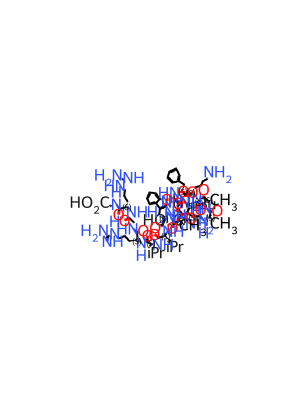 CC[C@H](C)[C@H](NC(=O)[C@H](Cc1ccccc1)NC(=O)[C@H](CCC(=O)O)NC(=O)[C@H](CCCCN)NC(=O)[C@H](C)NC(=O)[C@H](C)NC(=O)[C@@H](N)CCC(N)=O)C(=O)N[C@@H](C)C(=O)N[C@@H](Cc1c[nH]c2ccccc12)C(=O)N[C@@H](CC(C)C)C(=O)N[C@H](C(=O)N[C@@H](CCCNC(=N)N)C(=O)NCC(=O)N[C@@H](CCCNC(=N)N)C(=O)NCC(=O)O)C(C)C